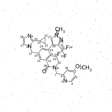 COc1ccnc(CN2CCc3c(cc(Cn4ccnc4C4CC4)cc3-c3cn(C)nc3C(F)(F)F)C2=O)c1